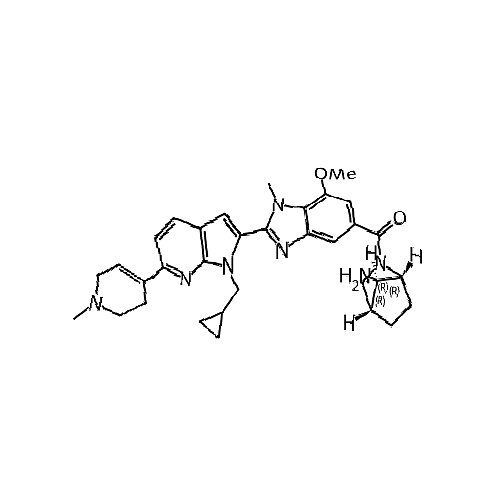 COc1cc(C(=O)N2C[C@H]3CC[C@@H]2[C@@H]3N)cc2nc(-c3cc4ccc(C5=CCN(C)CC5)nc4n3CC3CC3)n(C)c12